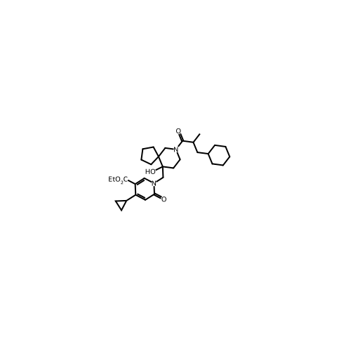 CCOC(=O)c1cn(CC2(O)CCN(C(=O)C(C)CC3CCCCC3)CC23CCCC3)c(=O)cc1C1CC1